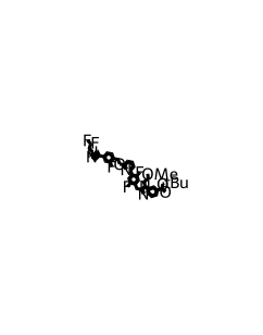 COCCn1c(Cc2cc(F)c(-c3cccc(OCc4ccc(-c5cnn(CC(F)F)c5)cc4F)n3)cc2F)nc2ccc(C(=O)OC(C)(C)C)cc21